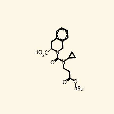 CCCCOC(=O)CCN(C(=O)N1Cc2ccccc2C[C@H]1C(=O)O)C1CC1